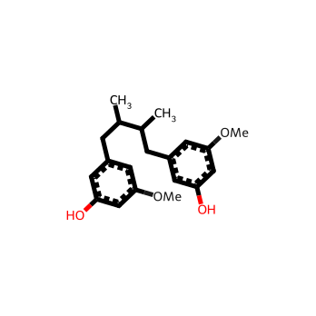 COc1cc(O)cc(CC(C)C(C)Cc2cc(O)cc(OC)c2)c1